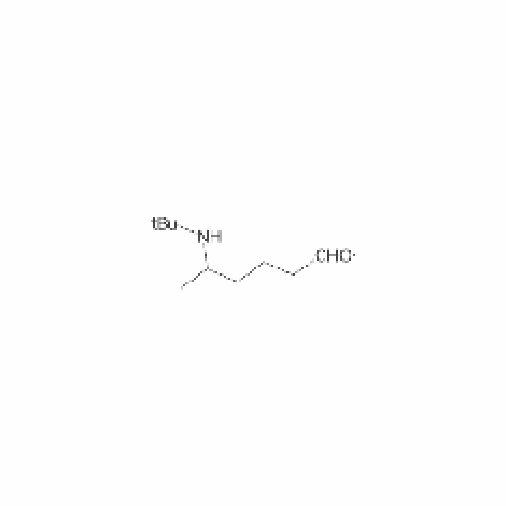 CC(CCC[C]=O)NC(C)(C)C